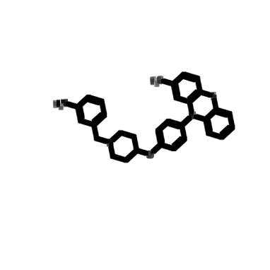 Nc1cccc(CN2CCC(Oc3ccc(N4c5ccccc5Sc5ccc(C(F)(F)F)cc54)cc3)CC2)c1